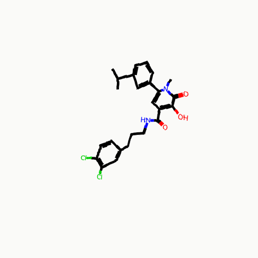 CC(C)c1cccc(-c2cc(C(=O)NCCCc3ccc(Cl)c(Cl)c3)c(O)c(=O)n2C)c1